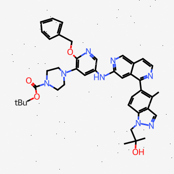 Cc1c(-c2nccc3cnc(Nc4cnc(OCc5ccccc5)c(N5CCN(C(=O)OC(C)(C)C)CC5)c4)cc23)ccc2c1cnn2CC(C)(C)O